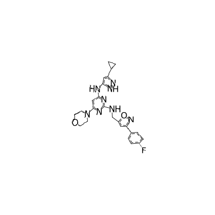 Fc1ccc(-c2cc(CNc3nc(Nc4cc(C5CC5)n[nH]4)cc(N4CCOCC4)n3)on2)cc1